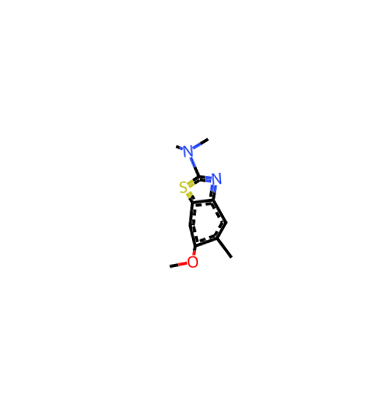 COc1cc2sc(N(C)C)nc2cc1C